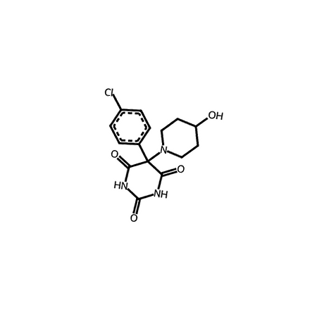 O=C1NC(=O)C(c2ccc(Cl)cc2)(N2CCC(O)CC2)C(=O)N1